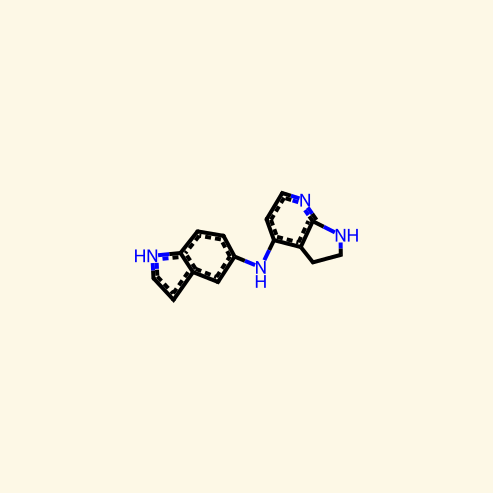 c1cc(Nc2ccc3[nH]ccc3c2)c2c(n1)NCC2